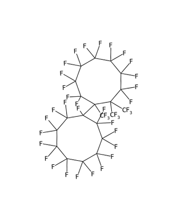 FC(F)(F)C1(C(F)(F)F)C(F)(F)C(F)(F)C(F)(F)C(F)(F)C(F)(F)C(F)(F)C(F)(F)C1(C(F)(F)F)C1(F)C(F)(F)C(F)(F)C(F)(F)C(F)(F)C(F)(F)C(F)(F)C(F)(F)C1(F)F